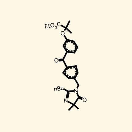 CCCCC1=NC(C)(C)C(=O)N1Cc1ccc(C(=O)c2cccc(OC(C)(C)C(=O)OCC)c2)cc1